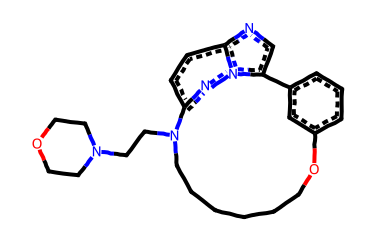 c1cc2cc(c1)-c1cnc3ccc(nn13)N(CCN1CCOCC1)CCCCCCO2